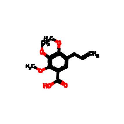 C=CCc1cc(C(=O)O)c(OC)c(OC)c1OC